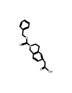 O=C(O)Cc1ccc2c(c1)CCN(C(=O)OCc1ccccc1)C2